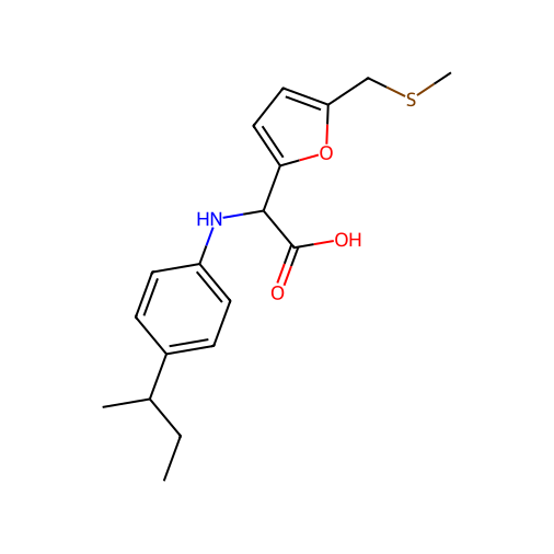 CCC(C)c1ccc(NC(C(=O)O)c2ccc(CSC)o2)cc1